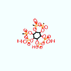 CP1(=O)OC2C(OP(C)(=O)O1)C1OP(=O)(O)OP(=O)(O)OC1C1OP(=O)(O)OP(C)(=O)OC21